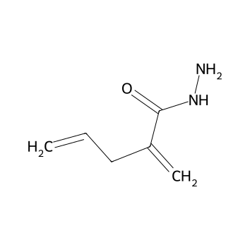 C=CCC(=C)C(=O)NN